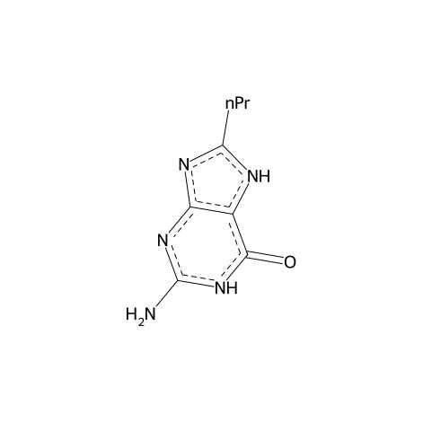 CCCc1nc2nc(N)[nH]c(=O)c2[nH]1